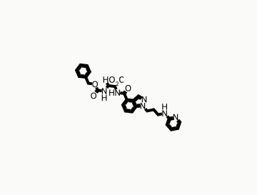 O=C(NC(CNC(=O)c1cccc2c1cnn2CCCNc1ccccn1)C(=O)O)OCc1ccccc1